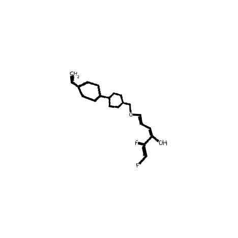 C=CC1CCC(C2CCC(CO/C=C/C=C(O)\C(F)=C\F)CC2)CC1